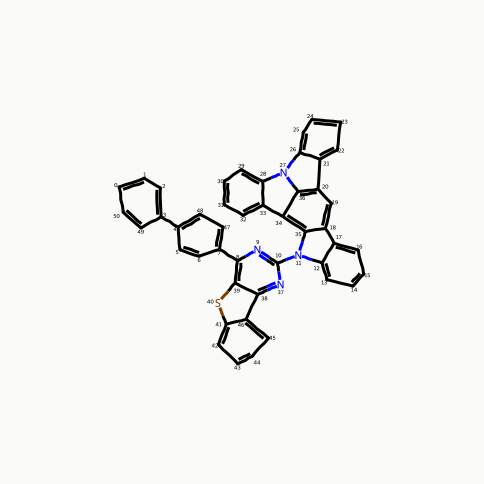 c1ccc(-c2ccc(-c3nc(-n4c5ccccc5c5cc6c7ccccc7n7c8ccccc8c(c54)c67)nc4c3sc3ccccc34)cc2)cc1